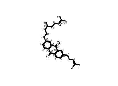 CC(C)=CCCc1ccc2c(c1)C(=O)c1cc(CCCC(C)CCC=C(C)C)ccc1C2=O